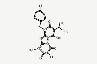 CC(C)c1c(O)n2c3c(=O)n(C)c(=O)n(C)c3nc2n(Cc2ccc(Cl)cc2)c1=O